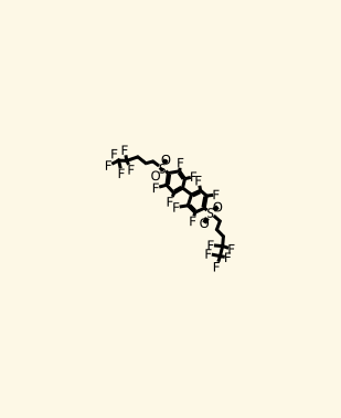 O=S(=O)(CCCC(F)(F)C(F)(F)F)c1c(F)c(F)c(-c2c(F)c(F)c(S(=O)(=O)CCCC(F)(F)C(F)(F)F)c(F)c2F)c(F)c1F